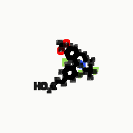 C[C@H]1Cc2cc3c(cc2[C@H](c2c(F)cc(CCC(=O)O)cc2F)N1CC(C)(C)F)OCO3